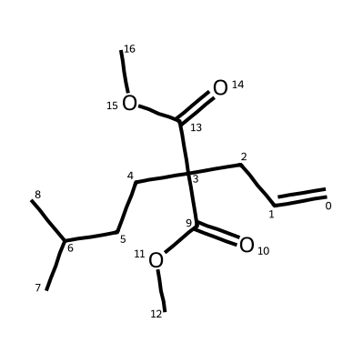 C=CCC(CCC(C)C)(C(=O)OC)C(=O)OC